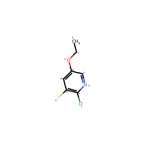 CCOc1cnc(Cl)c(F)c1